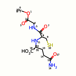 CC(C)OC(=O)CNC(=O)C(CS)N[C@@H](CCC(N)=O)C(=O)O